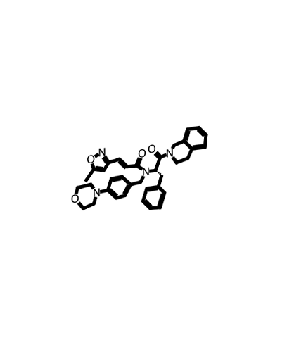 Cc1cc(/C=C/C(=O)N(Cc2ccc(N3CCOCC3)cc2)[C@@H](Cc2ccccc2)C(=O)N2CCc3ccccc3C2)no1